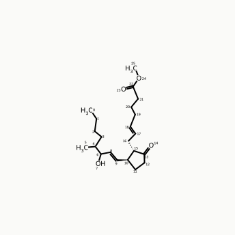 CCCCC(C)C(O)C=C[C@@H]1CCC(=O)[C@H]1CC=CCCCC(=O)OC